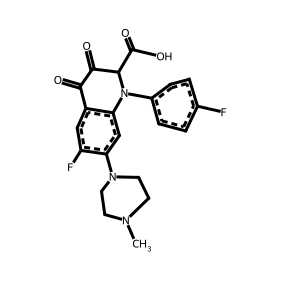 CN1CCN(c2cc3c(cc2F)C(=O)C(=O)C(C(=O)O)N3c2ccc(F)cc2)CC1